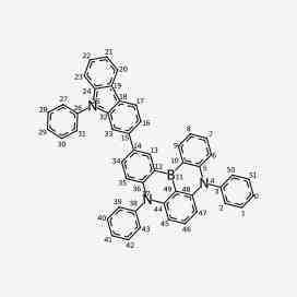 c1ccc(N2c3ccccc3B3c4cc(-c5ccc6c7ccccc7n(-c7ccccc7)c6c5)ccc4N(c4ccccc4)c4cccc2c43)cc1